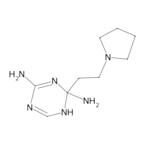 NC1=NC(N)(CCN2CCCC2)NC=N1